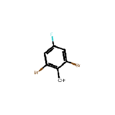 [CH]c1c(Br)cc(F)cc1Br